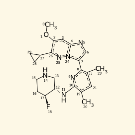 COc1cc2ncc(-c3nc(N[C@H]4CNCC[C@@H]4F)c(C)cc3C)n2nc1C1CC1